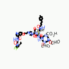 C#C[C@H]1CC(F)(F)CN1C(=O)CNC(=O)c1ccnc2ccc(OCCCN3CCN(C(=O)[C@H](CC(=O)OC)NC(=O)[C@H](CSCCNC(=O)CCCc4ccc(C)cc4)NC(=O)CN4CCN(COC=O)CCN(COC=O)CCN(CC(=O)O)CC4)CC3)cc12